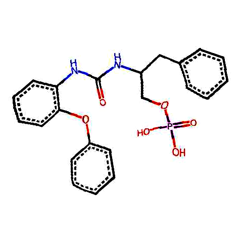 O=C(Nc1ccccc1Oc1ccccc1)NC(COP(=O)(O)O)Cc1ccccc1